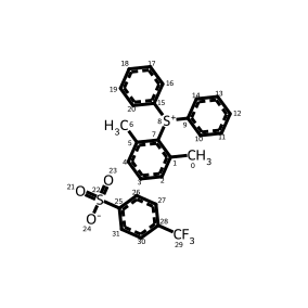 Cc1cccc(C)c1[S+](c1ccccc1)c1ccccc1.O=S(=O)([O-])c1ccc(C(F)(F)F)cc1